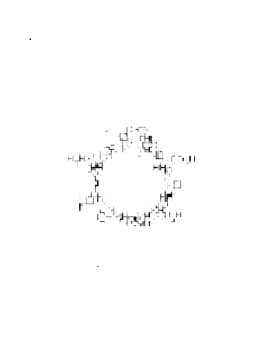 CCCC[C@H]1C(=O)N2CCOC[C@@H]2C(=O)N[C@@H](CC(=O)O)C(=O)N[C@@H](C(C)C)C(=O)N(C)[C@@H](Cc2ccccc2)C(=O)N[C@@H](CCC(=O)O)C(=O)N2CCOC[C@@H]2C(=O)N[C@@H](Cc2c[nH]c3ccccc23)C(=O)N[C@@H](Cc2ccc(O)cc2)C(=O)N[C@@H](CC(C)C)C(=O)N[C@H](C(=O)NCC(N)=O)CSCC(=O)N[C@@H](Cc2ccc(F)c(F)c2)C(=O)N(C)[C@@H](Cc2ccccc2)C(=O)N1C